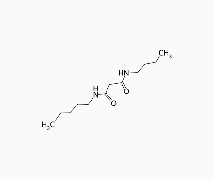 CCCCCNC(=O)CC(=O)NCCCC